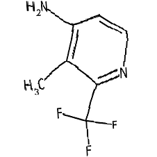 Cc1c(N)ccnc1C(F)(F)F